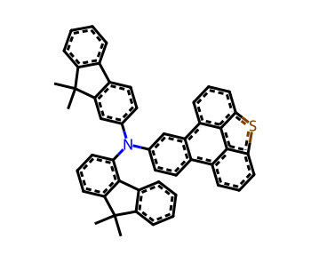 CC1(C)c2ccccc2-c2ccc(N(c3ccc4c(c3)c3cccc5sc6cccc4c6c53)c3cccc4c3-c3ccccc3C4(C)C)cc21